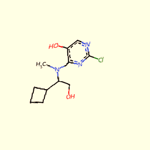 CN(c1nc(Cl)ncc1O)C(CO)C1CCC1